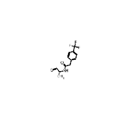 C[C@@H]([C]=O)NC(=O)Cc1ccc(C(F)(F)F)cc1